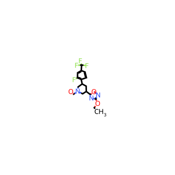 CCOc1noc(C2CC(c3ccc(C(F)(F)F)cc3F)CN(C=O)C2)n1